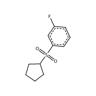 O=S(=O)(c1cccc(F)c1)C1CCCC1